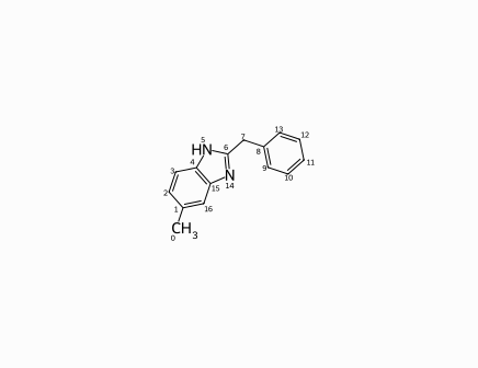 Cc1ccc2[nH]c(Cc3ccccc3)nc2c1